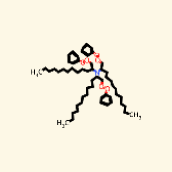 CCCCCCCCCCCC(COOc1ccccc1)N(C(CCCCCCCCCCC)COOc1ccccc1)C(CCCCCCCCCCC)COOc1ccccc1